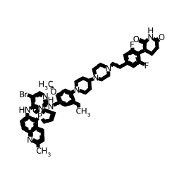 CCc1cc(Nc2ncc(Br)c(Nc3ccc4nc(C)ccc4c3P3(=O)CC=CC3)n2)c(OC)cc1N1CCC(N2CCN(CCc3cc(F)c(C4CCC(=O)NC4=O)c(F)c3)CC2)CC1